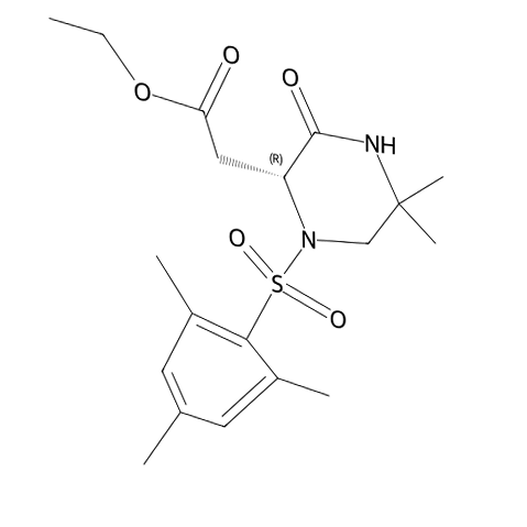 CCOC(=O)C[C@@H]1C(=O)NC(C)(C)CN1S(=O)(=O)c1c(C)cc(C)cc1C